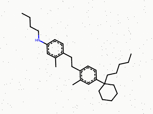 CCCCCC1(c2ccc(CCc3ccc(NCCCC)cc3C)c(C)c2)CCCCC1